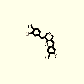 O=C1/C(=C/c2ccc(Cl)c(Cl)c2)CSC/C1=C/c1ccc(Cl)c(Cl)c1